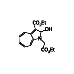 CCOC(=O)CN1C2=CC=CC=CC2=C(C(=O)OCC)C1O